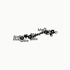 COc1cc(C2NC(=O)c3cc(Cl)ccc3N2)ccc1OCCCCCCCCOc1c(OC)cc(-c2cc(-c3cc(OC)c(OC)c(OC)c3)no2)cc1OC